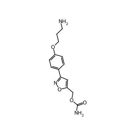 NCCCOc1ccc(-c2cc(COC(N)=O)on2)cc1